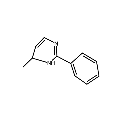 CC1C=CN=C(c2ccccc2)N1